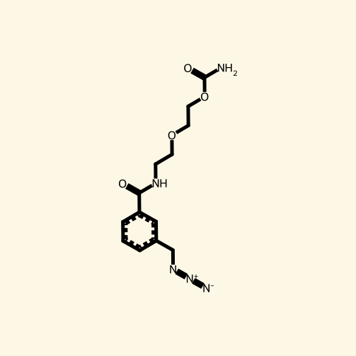 [N-]=[N+]=NCc1cccc(C(=O)NCCOCCOC(N)=O)c1